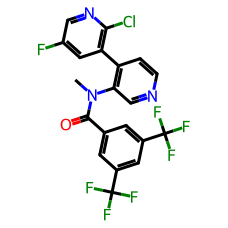 CN(C(=O)c1cc(C(F)(F)F)cc(C(F)(F)F)c1)c1cnccc1-c1cc(F)cnc1Cl